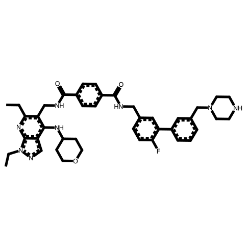 CCc1nc2c(cnn2CC)c(NC2CCOCC2)c1CNC(=O)c1ccc(C(=O)NCc2ccc(F)c(-c3cccc(CN4CCNCC4)c3)c2)cc1